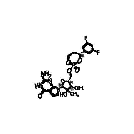 C[C@@]1(O)[C@H](O)[C@@H](COP2(=O)OCC[C@H](c3cc(F)cc(F)c3)O2)O[C@H]1n1ccc2c(=O)[nH]c(N)nc21